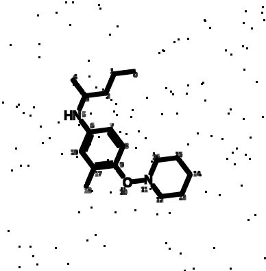 CCCC(C)Nc1ccc(ON2CCCCC2)c(C)c1